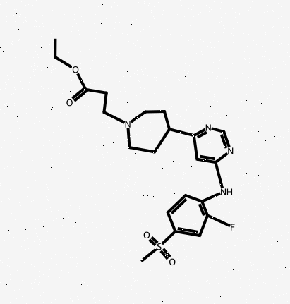 CCOC(=O)CCN1CCC(c2cc(Nc3ccc(S(C)(=O)=O)cc3F)ncn2)CC1